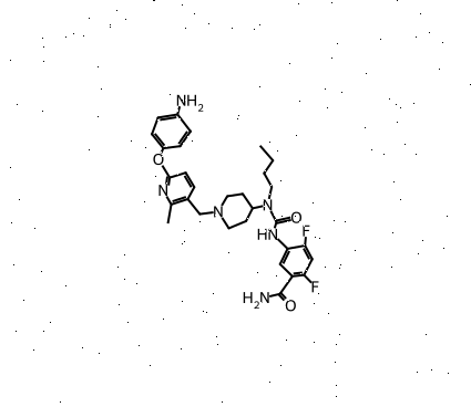 CCCCN(C(=O)Nc1cc(C(N)=O)c(F)cc1F)C1CCN(Cc2ccc(Oc3ccc(N)cc3)nc2C)CC1